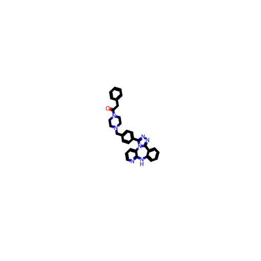 O=C(Cc1ccccc1)N1CCN(Cc2ccc(-c3nnc4n3-c3cccnc3Nc3ccccc3-4)cc2)CC1